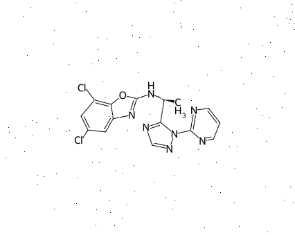 C[C@H](Nc1nc2cc(Cl)cc(Cl)c2o1)c1ncnn1-c1ncccn1